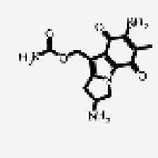 CC1=C(N)C(=O)c2c(COC(N)=O)c3n(c2C1=O)CC(N)C3